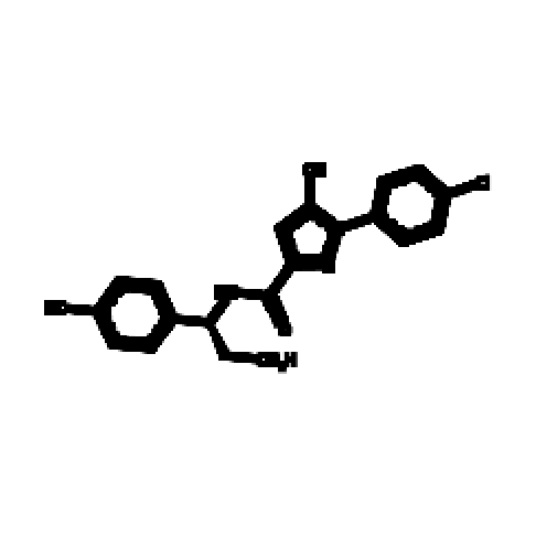 N#Cc1ccc([C@H](CC(=O)O)NC(=O)c2cc(O)n(-c3ccc(Cl)cc3)n2)cc1